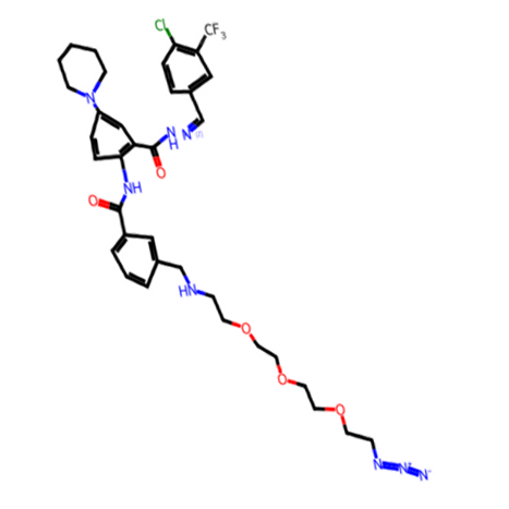 [N-]=[N+]=NCCOCCOCCOCCNCc1cccc(C(=O)Nc2ccc(N3CCCCC3)cc2C(=O)N/N=C\c2ccc(Cl)c(C(F)(F)F)c2)c1